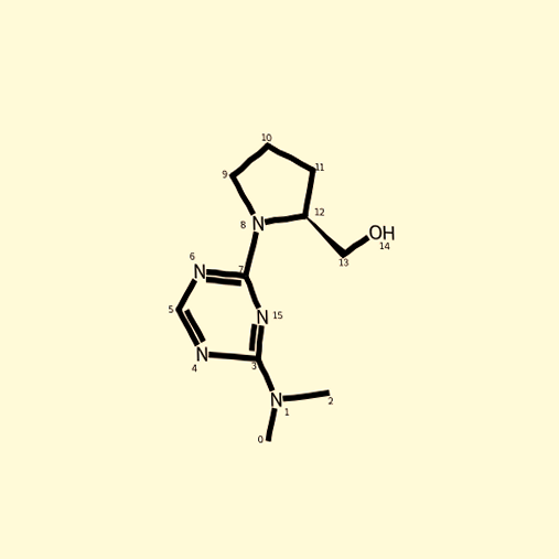 CN(C)c1ncnc(N2CCC[C@H]2CO)n1